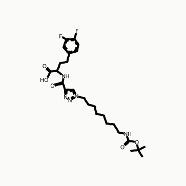 CC(C)(C)OC(=O)NCCCCCCCCn1cc(C(=O)NC(CCc2ccc(F)c(F)c2)C(=O)O)nn1